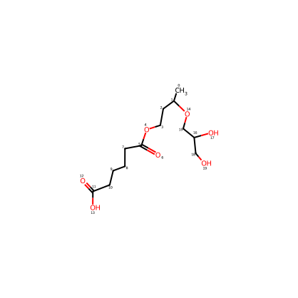 CC(CCOC(=O)CCCCC(=O)O)OCC(O)CO